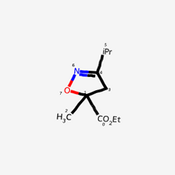 CCOC(=O)C1(C)CC(C(C)C)=NO1